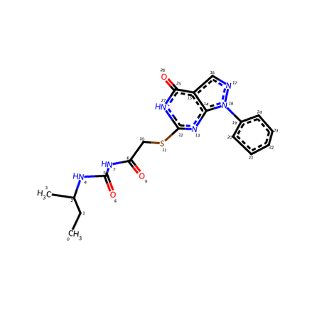 CCC(C)NC(=O)NC(=O)CSc1nc2c(cnn2-c2ccccc2)c(=O)[nH]1